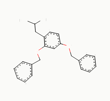 CC(C)Cc1ccc(OCc2ccccc2)cc1OCc1ccccc1